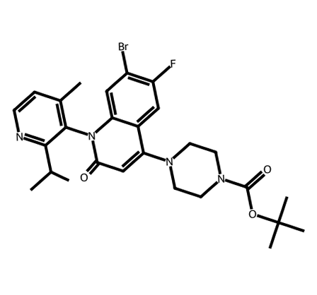 Cc1ccnc(C(C)C)c1-n1c(=O)cc(N2CCN(C(=O)OC(C)(C)C)CC2)c2cc(F)c(Br)cc21